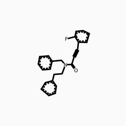 O=C(C#Cc1ccccc1F)N(CCc1ccccc1)Cc1ccccc1